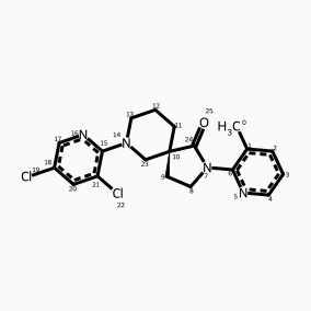 Cc1cccnc1N1CC[C@@]2(CCCN(c3ncc(Cl)cc3Cl)C2)C1=O